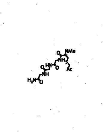 CN[C@H](CSCC(C)=O)C(=O)NCC(=O)NCC(=O)NCC(N)=O